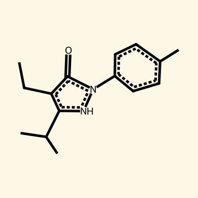 CCc1c(C(C)C)[nH]n(-c2ccc(C)cc2)c1=O